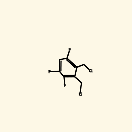 Fc1cc(F)c(CCl)c(CCl)c1F